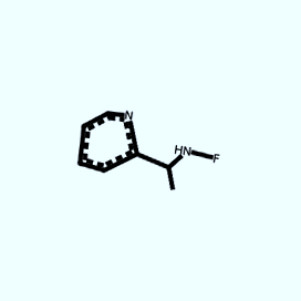 CC(NF)c1ccccn1